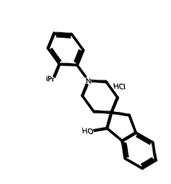 CC(C)c1ccccc1N1CCC2(CC1)Cc1ccccc1C2O.Cl